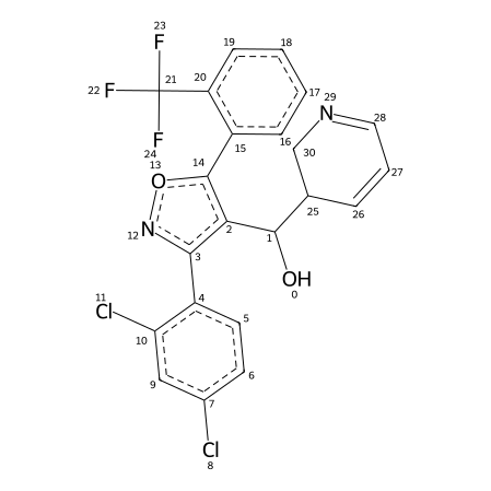 OC(c1c(-c2ccc(Cl)cc2Cl)noc1-c1ccccc1C(F)(F)F)C1C=CC=NC1